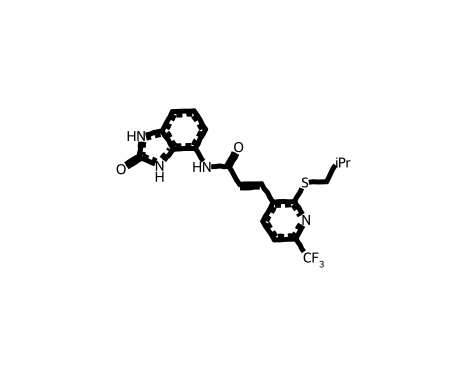 CC(C)CSc1nc(C(F)(F)F)ccc1/C=C/C(=O)Nc1cccc2[nH]c(=O)[nH]c12